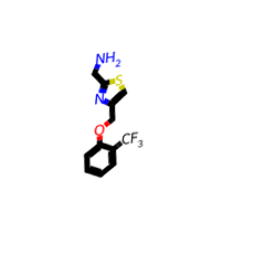 NCc1nc(COc2ccccc2C(F)(F)F)cs1